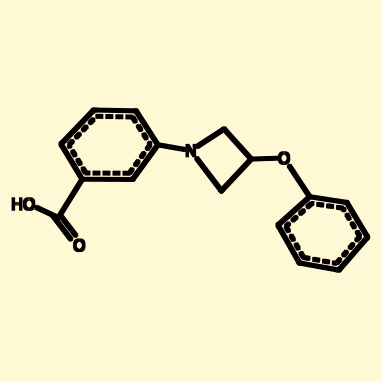 O=C(O)c1cccc(N2CC(Oc3ccccc3)C2)c1